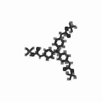 CC(C)(C)OC(=O)Cc1ccc([S+](c2ccc(CC(=O)OC(C)(C)C)cc2)c2ccc(CC(=O)OC(C)(C)C)cc2)cc1